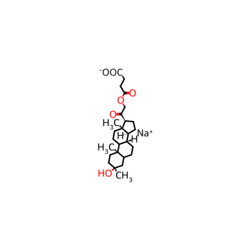 C[C@@]1(O)CC[C@@]2(C)C(CC[C@@H]3C2CC[C@]2(C)[C@@H](C(=O)COC(=O)CCC(=O)[O-])CC[C@@H]32)C1.[Na+]